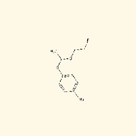 CCC(C)c1ccc(OC(C)OCCF)cc1